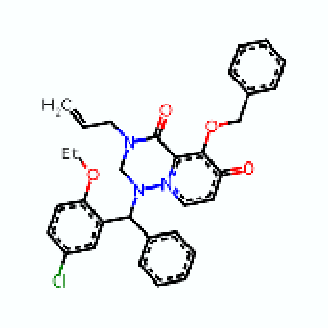 C=CCN1CN(C(c2ccccc2)c2cc(Cl)ccc2OCC)n2ccc(=O)c(OCc3ccccc3)c2C1=O